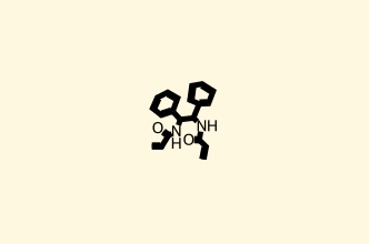 C=CC(=O)NC(c1ccccc1)C(NC(=O)C=C)c1ccccc1